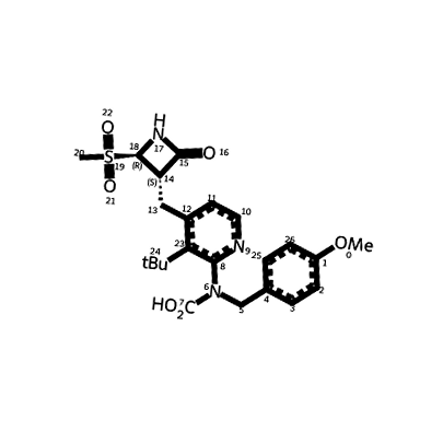 COc1ccc(CN(C(=O)O)c2nccc(C[C@H]3C(=O)N[C@@H]3S(C)(=O)=O)c2C(C)(C)C)cc1